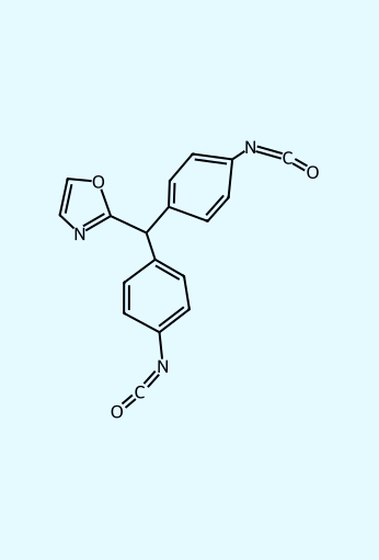 O=C=Nc1ccc(C(c2ccc(N=C=O)cc2)c2ncco2)cc1